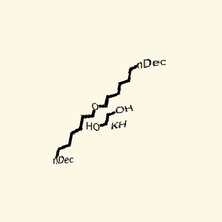 CCCCCCCCCCCCCCCCOCCCCCCCCCCCCCCCC.OCCO.[KH]